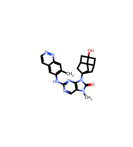 Cc1cc2nnccc2cc1Nc1ncc2c(n1)n(C13CC4CC5(O)CC(C1)C45C3)c(=O)n2C